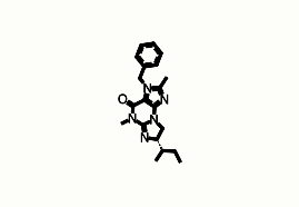 CCC(C)[C@H]1CN2C(=N1)N(C)C(=O)c1c2nc(C)n1Cc1ccccc1